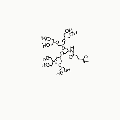 CSC(=O)CCC(=O)NC(COC(COC(CO)CO)COC(CO)CO)COC(COC(CO)CO)COC(CO)CO